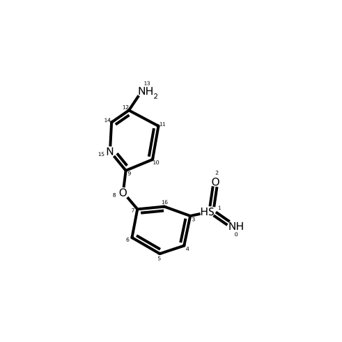 N=[SH](=O)c1cccc(Oc2ccc(N)cn2)c1